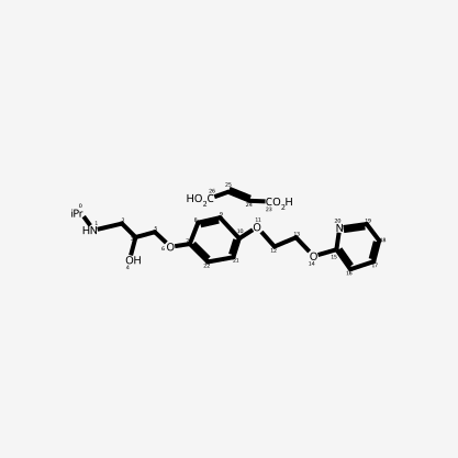 CC(C)NCC(O)COc1ccc(OCCOc2ccccn2)cc1.O=C(O)C=CC(=O)O